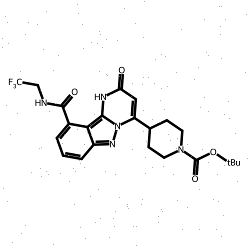 CC(C)(C)OC(=O)N1CCC(c2cc(=O)[nH]c3c4c(C(=O)NCC(F)(F)F)cccc4nn23)CC1